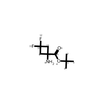 CC(C)(C)OC(=O)C1(N)CC(F)(F)C1